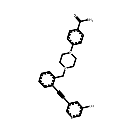 NC(=O)c1ccc(N2CCN(Cc3ccccc3C#Cc3cncc(O)c3)CC2)cc1